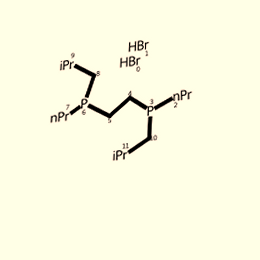 Br.Br.CCCP(CCP(CCC)CC(C)C)CC(C)C